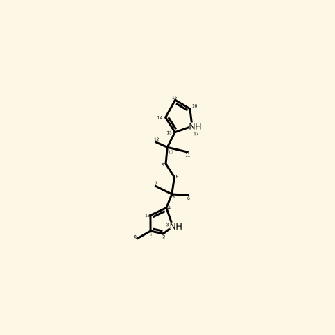 Cc1c[nH]c(C(C)(C)CCC(C)(C)c2ccc[nH]2)c1